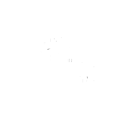 O=C(N[C@H]1CC[C@@](O)(C(F)(F)F)CC1)C1CCN[C@H](C(F)(F)F)C1